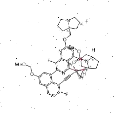 COCOc1cc(-c2nc(C3CC3)c3c(N4C[C@H]5CC[C@@H](C4)N5C(=O)OC(C)(C)C)nc(OC[C@@]45CCCN4C[C@H](F)C5)nc3c2F)c2c(C#C[Si](C(C)C)(C(C)C)C(C)C)c(F)ccc2c1